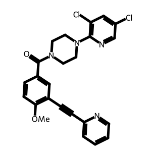 COc1ccc(C(=O)N2CCN(c3ncc(Cl)cc3Cl)CC2)cc1C#Cc1ccccn1